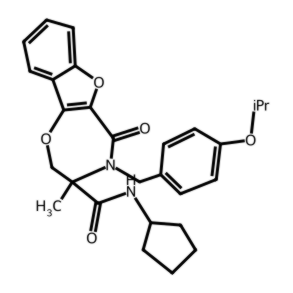 CC(C)Oc1ccc(CN2C(=O)c3oc4ccccc4c3OCC2(C)C(=O)NC2CCCC2)cc1